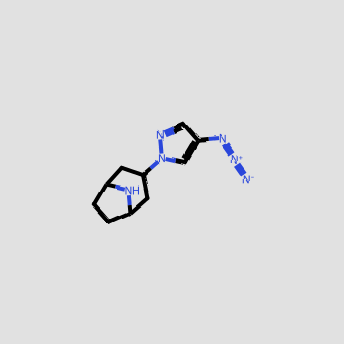 [N-]=[N+]=Nc1cnn(C2CC3CCC(C2)N3)c1